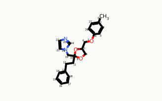 Cc1ccc(OCC2COC(CCc3ccccc3)(Cn3ccnc3)O2)cc1